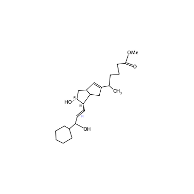 COC(=O)CCCC(C)C1=CC2C[C@@H](O)[C@H](/C=C/C(O)C3CCCCC3)C2C1